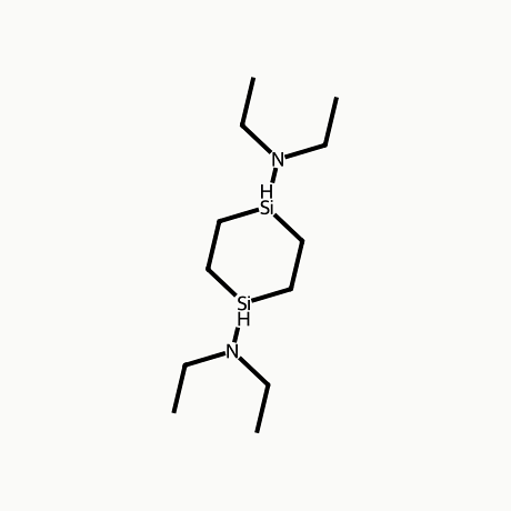 CCN(CC)[SiH]1CC[SiH](N(CC)CC)CC1